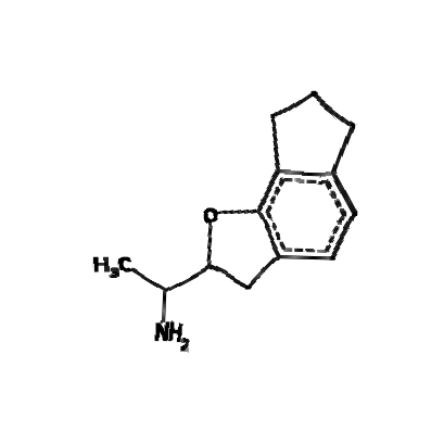 CC(N)C1Cc2ccc3c(c2O1)CCC3